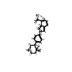 NC(=O)c1cccc2cn(-c3ccc(C4CNCCC4(F)F)cc3)nc12